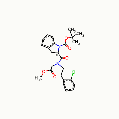 COC(=O)CN(CCc1ccccc1Cl)C(=O)[C@H]1Cc2ccccc2N1C(=O)OC(C)(C)C